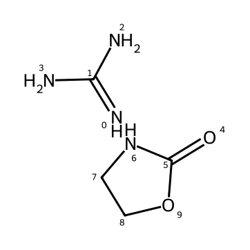 N=C(N)N.O=C1NCCO1